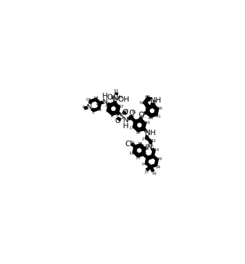 CN1CCC(Nc2ccc(S(=O)(=O)NC(=O)c3ccc(NCCNCC4=C(c5ccc(Cl)cc5)CC(C)(C)CC4)cc3Oc3cccc4[nH]ccc34)cc2[N+](C)([O-])O)CC1